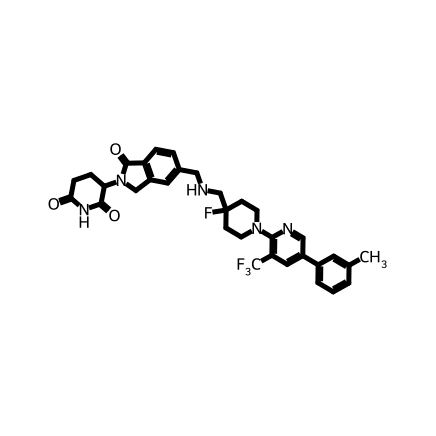 Cc1cccc(-c2cnc(N3CCC(F)(CNCc4ccc5c(c4)CN(C4CCC(=O)NC4=O)C5=O)CC3)c(C(F)(F)F)c2)c1